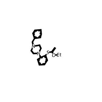 C=C(OCC)Sc1ccccc1N1CCN(Cc2ccccc2)CC1